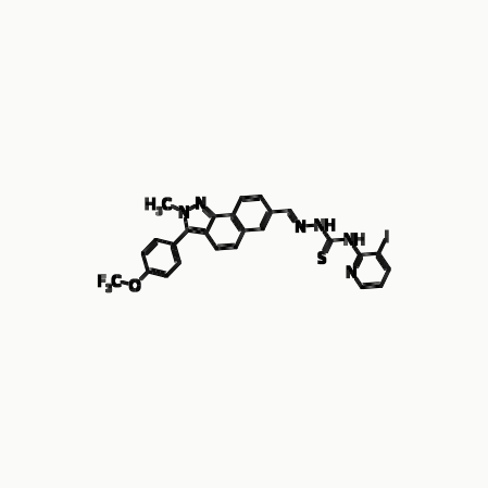 Cn1nc2c(ccc3cc(C=NNC(=S)Nc4ncccc4I)ccc32)c1-c1ccc(OC(F)(F)F)cc1